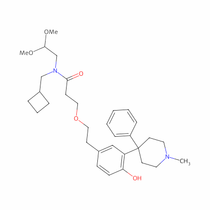 COC(CN(CC1CCC1)C(=O)CCOCCc1ccc(O)c(C2(c3ccccc3)CCN(C)CC2)c1)OC